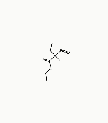 CCOC(=O)C(C)(CC)P=O